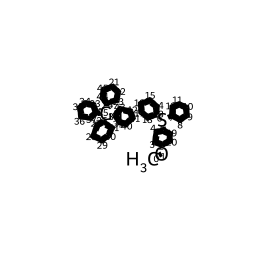 COc1ccc([S+](c2ccccc2)c2ccccc2)cc1.c1cc[c]([Ga-]([c]2ccccc2)([c]2ccccc2)[c]2ccccc2)cc1